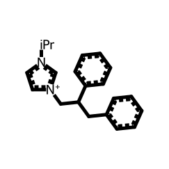 CC(C)n1cc[n+](CC(Cc2ccccc2)c2ccccc2)c1